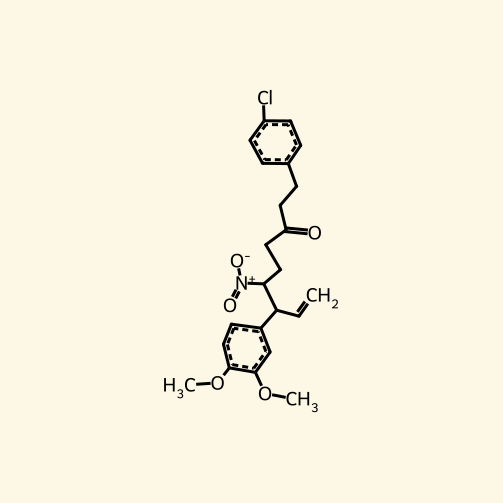 C=CC(c1ccc(OC)c(OC)c1)C(CCC(=O)CCc1ccc(Cl)cc1)[N+](=O)[O-]